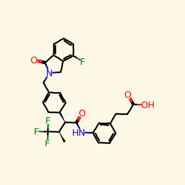 C[C@H]([C@H](C(=O)Nc1cccc(CCC(=O)O)c1)C1C=CC(CN2Cc3c(F)cccc3C2=O)=CC1)C(F)(F)F